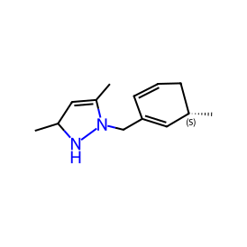 CC1=CC(C)NN1CC1=C[C@@H](C)CC=C1